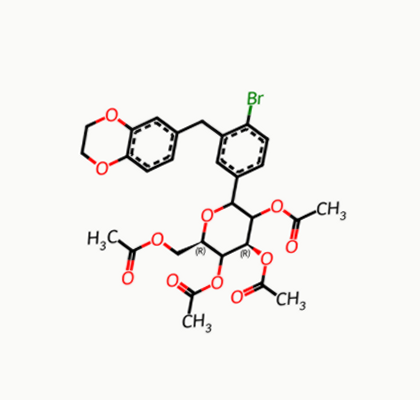 CC(=O)OC[C@H]1OC(c2ccc(Br)c(Cc3ccc4c(c3)OCCO4)c2)C(OC(C)=O)[C@@H](OC(C)=O)C1OC(C)=O